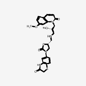 COc1ccc2ccc(=O)n(C[C@@H](O)CNC[C@@H]3CN(c4ccc5c(c4)NC(=O)CS5)C(=O)O3)c2c1